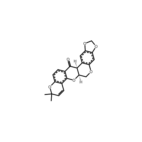 CC1(C)C=Cc2c(ccc3c2O[C@@H]2COc4cc5c(cc4[C@@H]2C3=O)OCO5)O1